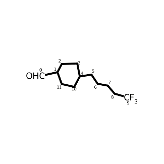 O=CC1CCC(CCCCC(F)(F)F)CC1